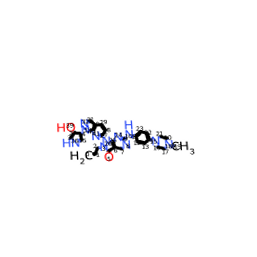 C=CCn1c(=O)c2cnc(Nc3ccc(N4CCN(C)CC4)cc3)nc2n1-c1ccc2cnn(C3CNCC3O)c2n1